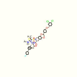 CCN(C(C)=O)c1nc(S(=O)(=O)N2Cc3cc4c(cc3CC2C(=O)N[C@@H](Cc2ccc(-c3ccc(F)cc3)cc2)C(=O)OC)OC[C@H](c2ccc(OCc3ccc(Cl)c(Cl)c3)cc2)O4)c(C)s1